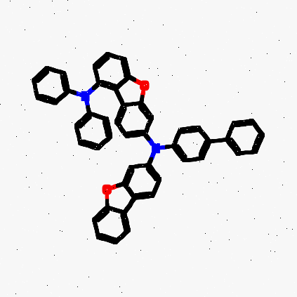 c1ccc(-c2ccc(N(c3ccc4c(c3)oc3ccccc34)c3ccc4c(c3)oc3cccc(N(c5ccccc5)c5ccccc5)c34)cc2)cc1